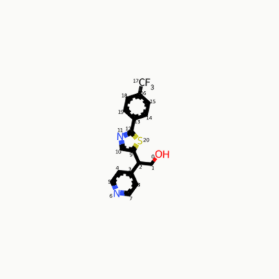 OCC(c1ccncc1)c1cnc(-c2ccc(C(F)(F)F)cc2)s1